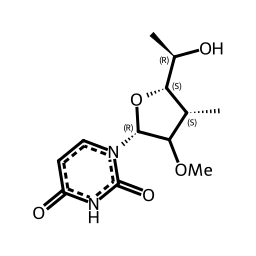 COC1[C@@H](C)[C@@H]([C@@H](C)O)O[C@H]1n1ccc(=O)[nH]c1=O